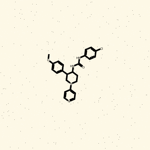 COc1ccc(C2CN(c3ccncc3)CCC2NC(=O)Nc2ccc(Cl)cc2)cc1